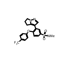 CNS(=O)(=O)c1ccc(Oc2ccc(C(F)(F)F)cc2)c(-c2cnn3c2CCC3)c1